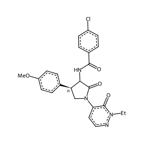 CCn1nccc(N2C[C@@H](c3ccc(OC)cc3)C(NC(=O)c3ccc(Cl)cc3)C2=O)c1=O